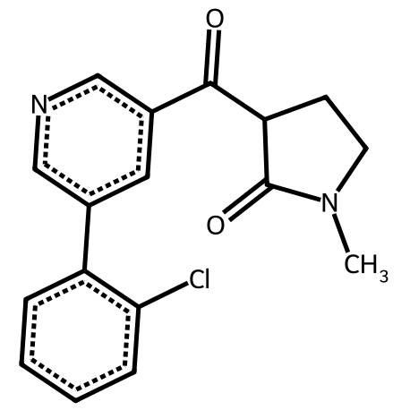 CN1CCC(C(=O)c2cncc(-c3ccccc3Cl)c2)C1=O